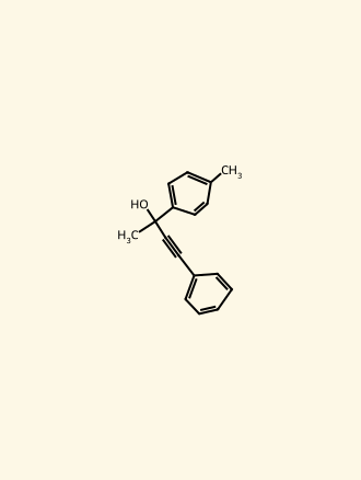 Cc1ccc(C(C)(O)C#Cc2ccccc2)cc1